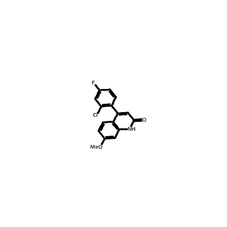 COc1ccc2c(-c3ccc(F)cc3Cl)cc(=O)[nH]c2c1